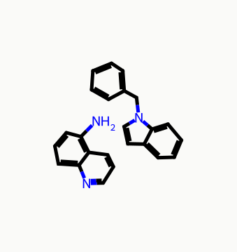 Nc1cccc2ncccc12.c1ccc(Cn2ccc3ccccc32)cc1